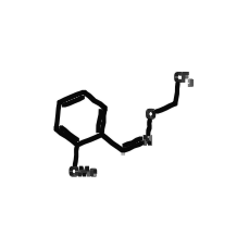 COc1ccccc1/[C]=N\OCC(F)(F)F